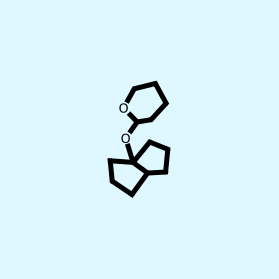 C1CCC(OC23CCCC2CCC3)OC1